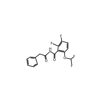 O=C(Cc1ccccc1)NC(=O)c1c(OC(F)F)ccc(F)c1F